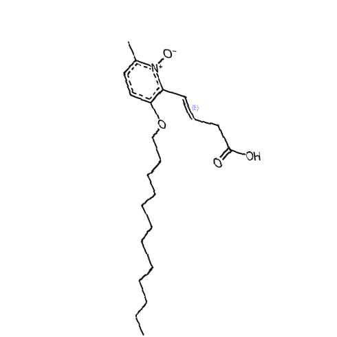 CCCCCCCCCCCCOc1ccc(C)[n+]([O-])c1/C=C/CC(=O)O